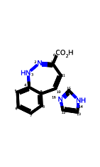 O=C(O)C1=NNc2ccccc2C=C1.c1c[nH]cn1